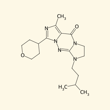 Cc1nc(C2CCOCC2)n2nc3n(c(=O)c12)CCN3CCC(C)C